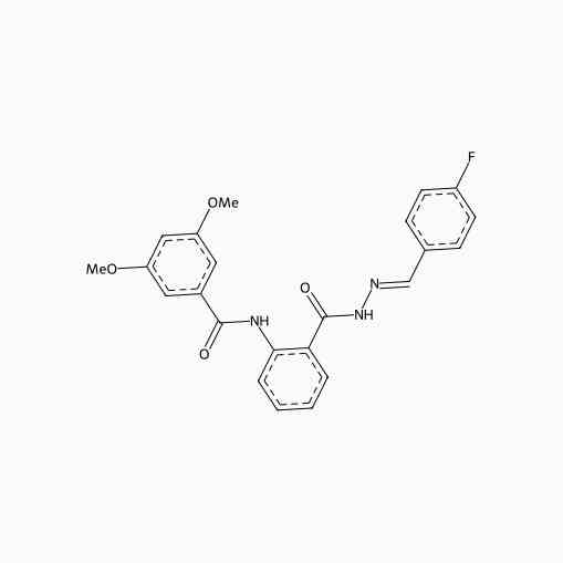 COc1cc(OC)cc(C(=O)Nc2ccccc2C(=O)NN=Cc2ccc(F)cc2)c1